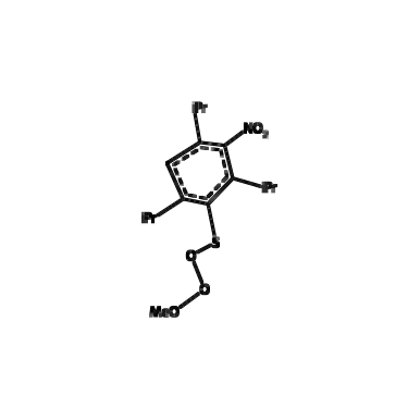 COOOSc1c(C(C)C)cc(C(C)C)c([N+](=O)[O-])c1C(C)C